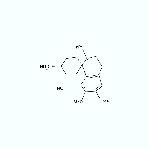 CCCN1CCc2cc(OC)c(OC)cc2[C@]12CC[C@@H](C(=O)O)CC2.Cl